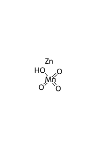 [O]=[Mn](=[O])(=[O])[OH].[Zn]